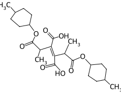 CC1CCC(OC(=O)C(C)/C(C(=O)O)=C(\C(=O)O)C(C)C(=O)OC2CCC(C)CC2)CC1